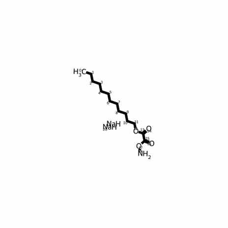 CCCCCCCCCCCCOC(=O)C(=O)ON.[NaH].[NaH]